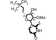 C=P(C)(C)CC[C@H]1OC(n2ccc(=O)[nH]c2=S)[C@H](OC)[C@@H]1O